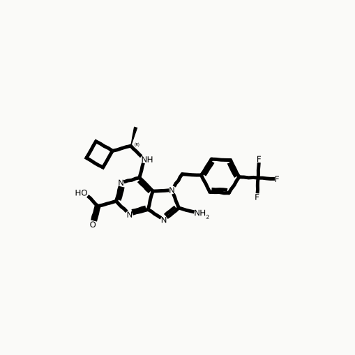 C[C@@H](Nc1nc(C(=O)O)nc2nc(N)n(Cc3ccc(C(F)(F)F)cc3)c12)C1CCC1